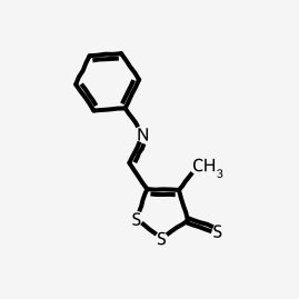 Cc1c(C=Nc2ccccc2)ssc1=S